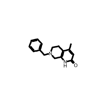 Cc1cc(=O)[nH]c2c1CCN(Cc1ccccc1)C2